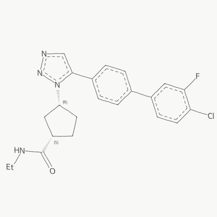 CCNC(=O)[C@H]1CC[C@@H](n2nncc2-c2ccc(-c3ccc(Cl)c(F)c3)cc2)C1